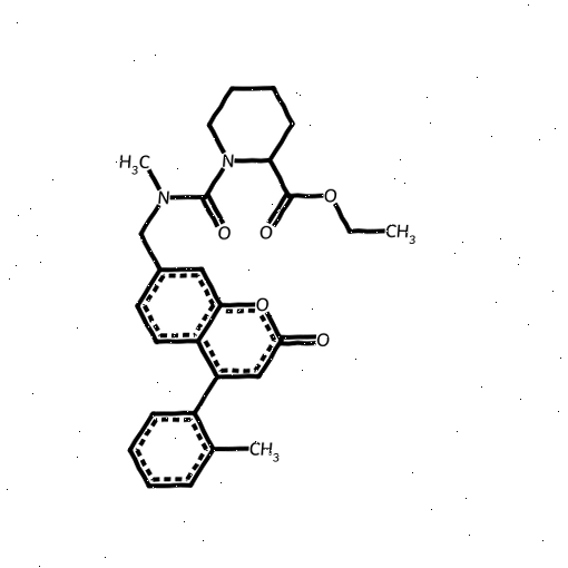 CCOC(=O)C1CCCCN1C(=O)N(C)Cc1ccc2c(-c3ccccc3C)cc(=O)oc2c1